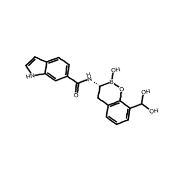 O=C(N[C@H]1Cc2cccc(C(O)O)c2OB1O)c1ccc2cc[nH]c2c1